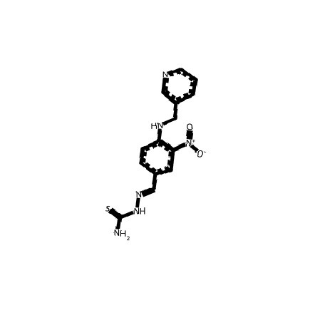 NC(=S)NN=Cc1ccc(NCc2cccnc2)c([N+](=O)[O-])c1